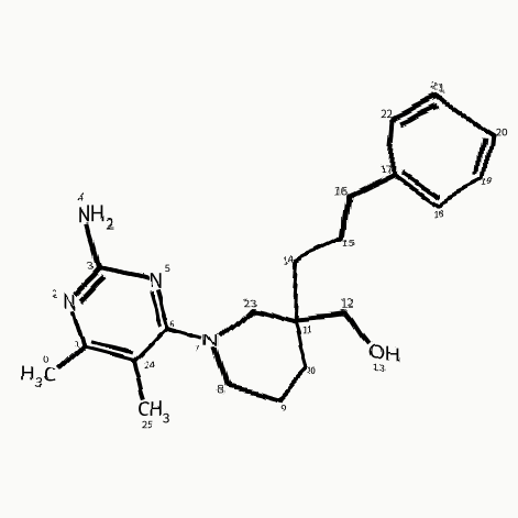 Cc1nc(N)nc(N2CCCC(CO)(CCCc3ccccc3)C2)c1C